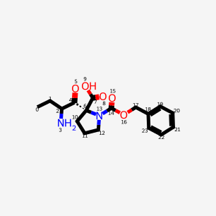 CCC(N)C(=O)[C@@]1(C(=O)O)CCCN1C(=O)OCc1ccccc1